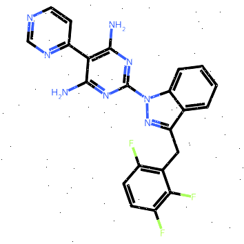 Nc1nc(-n2nc(Cc3c(F)ccc(F)c3F)c3ccccc32)nc(N)c1-c1ccncn1